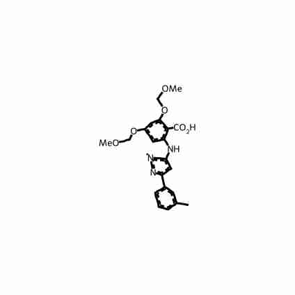 COCOc1cc(Nc2cc(-c3cccc(C)c3)nn2C)c(C(=O)O)c(OCOC)c1